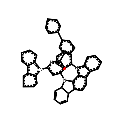 C1=CC2c3ccc4c5ccccc5n(-c5ccccc5)c4c3N(c3cc(-c4cccc(-c5ccccc5)c4)nc(-n4c5ccccc5c5ccccc54)c3)C2C=C1